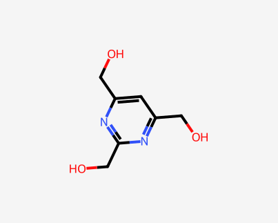 OCc1cc(CO)nc(CO)n1